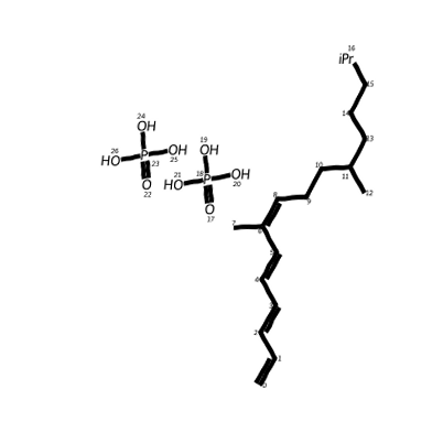 C=CC=CC=CC(C)=CCCC(C)CCCC(C)C.O=P(O)(O)O.O=P(O)(O)O